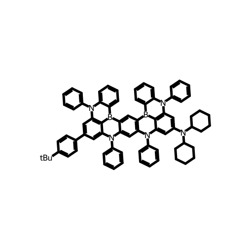 CC(C)(C)c1ccc(-c2cc3c4c(c2)N(c2ccccc2)c2cc5c(cc2B4c2ccccc2N3c2ccccc2)B2c3ccccc3N(c3ccccc3)c3cc(N(C4CCCCC4)C4CCCCC4)cc(c32)N5c2ccccc2)cc1